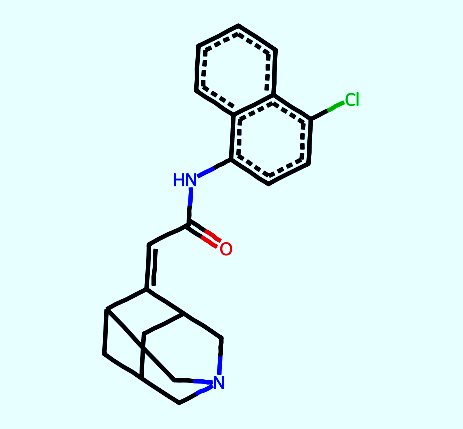 O=C(C=C1C2CC3CC1CN(C3)C2)Nc1ccc(Cl)c2ccccc12